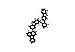 c1ccc2c(c1)-c1cccc3c(-c4ccc5sc6ccc(-n7c8ccccc8c8cc9sc%10ccccc%10c9cc87)cc6c5c4)ccc-2c13